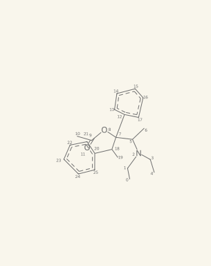 CCN(CC)C(C)C(OC(C)=O)(c1ccccc1)C(C)c1ccccc1